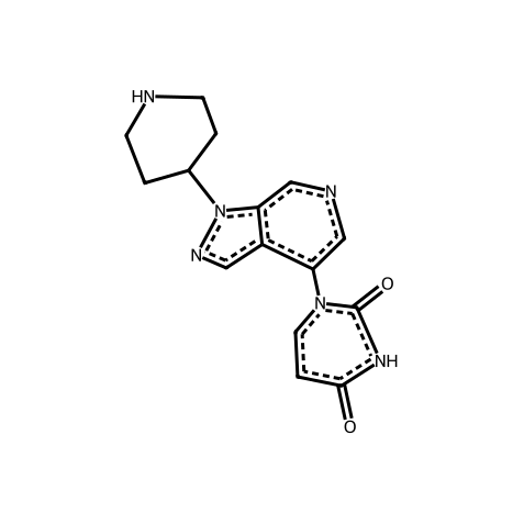 O=c1ccn(-c2cncc3c2cnn3C2CCNCC2)c(=O)[nH]1